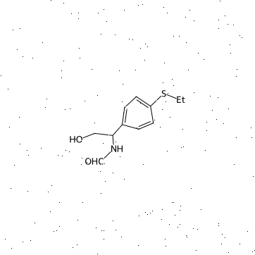 CCSc1ccc(C(CO)NC=O)cc1